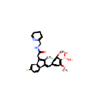 COc1cc(C=C2C(C)=C(CC(=O)NCc3ccccn3)c3cc(F)ccc32)cc(OC)c1B(O)O